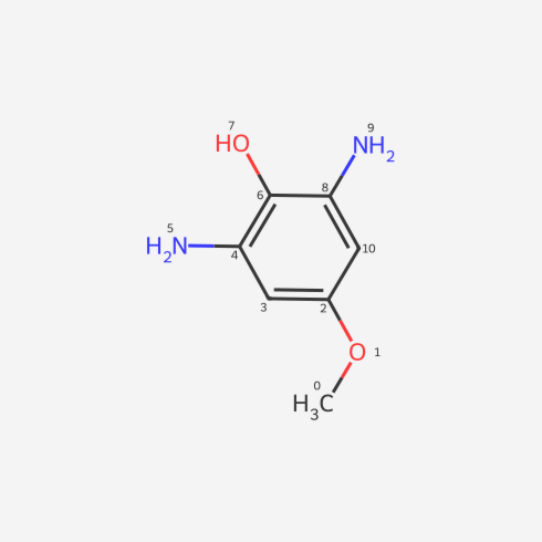 COc1cc(N)c(O)c(N)c1